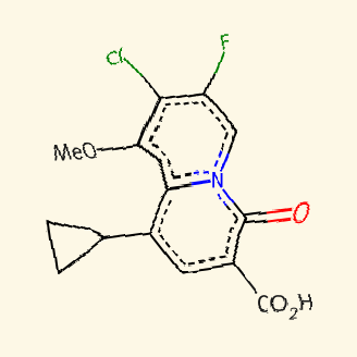 COc1c(Cl)c(F)cn2c(=O)c(C(=O)O)cc(C3CC3)c12